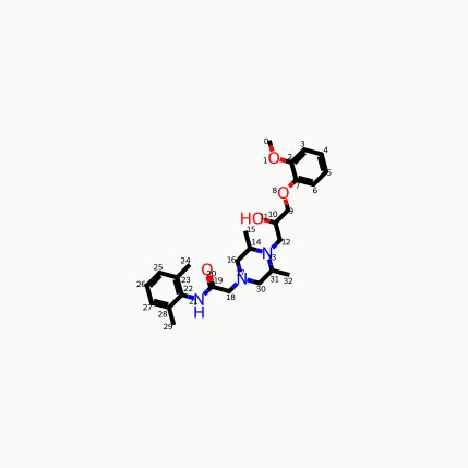 COc1ccccc1OCC(O)CN1C(C)CN(CC(=O)Nc2c(C)cccc2C)CC1C